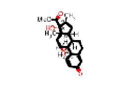 COC(=O)[C@@]1(O)[C@@H](C)C[C@H]2[C@@H]3CCC4=CC(=O)C=C[C@]4(C)[C@@]34O[C@H]4C[C@@]21C